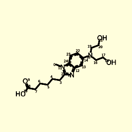 Cn1c(CCCCCC(=O)O)nc2cc(N(CCO)CCO)ccc21